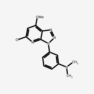 COc1cc(Cl)nc2c1nnn2-c1cccc(N(C)C)c1